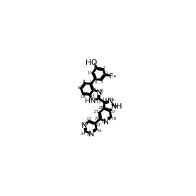 Oc1cc(F)cc(-c2cccc3[nH]c(-c4n[nH]c5cnc(-c6cncnc6)cc45)nc23)c1